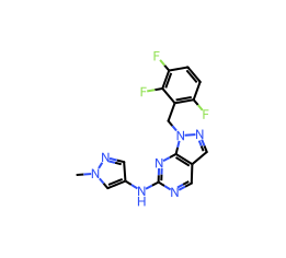 Cn1cc(Nc2ncc3cnn(Cc4c(F)ccc(F)c4F)c3n2)cn1